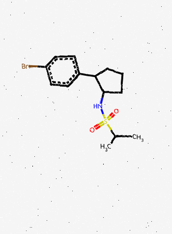 CC(C)S(=O)(=O)NC1CCCC1c1ccc(Br)cc1